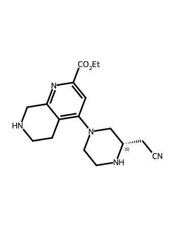 CCOC(=O)c1cc(N2CCN[C@@H](CC#N)C2)c2c(n1)CNCC2